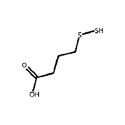 O=C(O)CCCSS